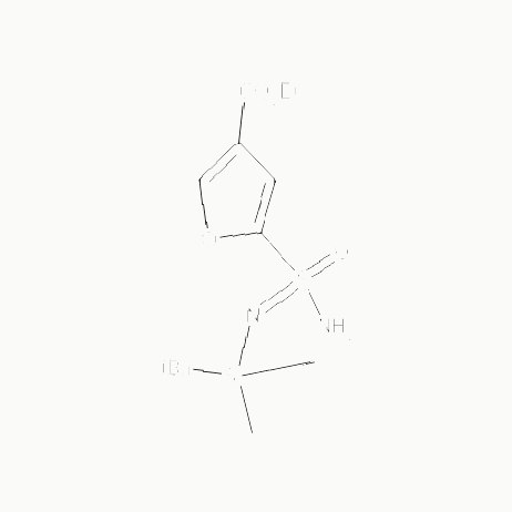 CCOC(=O)c1coc(S(N)(=O)=N[Si](C)(C)C(C)(C)C)c1